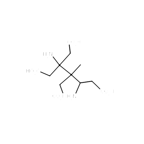 CC(CC(=O)O)(C(N)CC(=O)O)C(N)(CC(=O)O)CC(=O)O